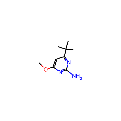 COc1cc(C(C)(C)C)nc(N)n1